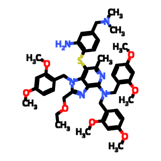 CCOCc1nc2c(N(Cc3ccc(OC)cc3OC)Cc3ccc(OC)cc3OC)nc(C)c(Sc3ccc(CN(C)C)cc3N)c2n1Cc1ccc(OC)cc1OC